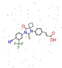 N#Cc1ccc(N2C(=O)C3(CCC3)N(c3ccc(C=CC(=O)O)cc3)C2=S)cc1C(F)(F)F